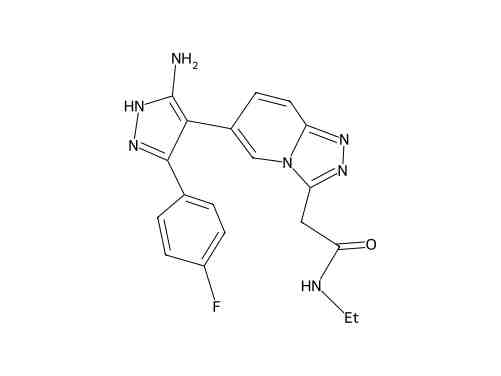 CCNC(=O)Cc1nnc2ccc(-c3c(-c4ccc(F)cc4)n[nH]c3N)cn12